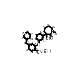 CCC1(c2cccc(Oc3cc(Cc4cccnc4)ccc3C#N)c2)CCCCN(C)C1=O.Cl